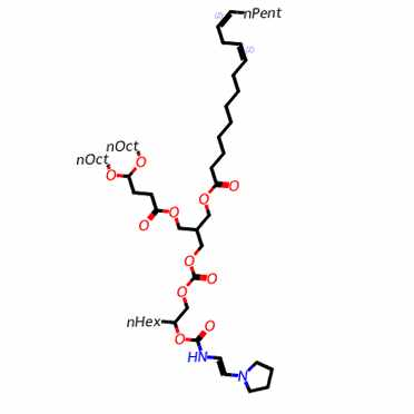 CCCCC/C=C\C/C=C\CCCCCCCC(=O)OCC(COC(=O)CCC(OCCCCCCCC)OCCCCCCCC)COC(=O)OCC(CCCCCC)OC(=O)NC=CN1CCCC1